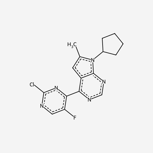 Cc1cc2c(-c3nc(Cl)ncc3F)ncnc2n1C1CCCC1